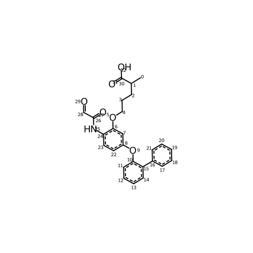 CC(CCCOc1cc(Oc2ccccc2-c2ccccc2)ccc1NC(=O)C=O)C(=O)O